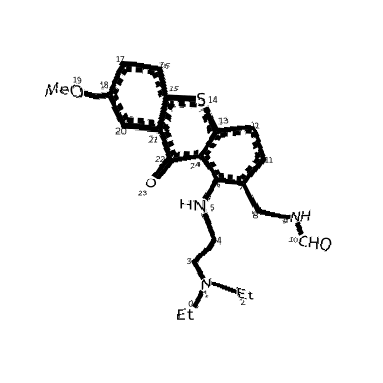 CCN(CC)CCNc1c(CNC=O)ccc2sc3ccc(OC)cc3c(=O)c12